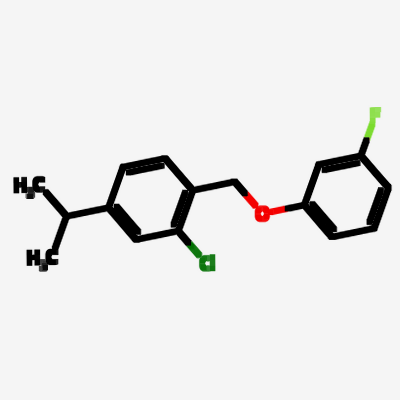 CC(C)c1ccc(COc2cccc(F)c2)c(Cl)c1